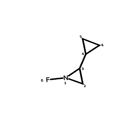 FN1CC1C1CC1